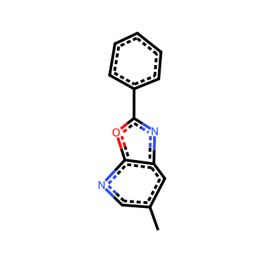 Cc1cnc2oc(-c3ccccc3)nc2c1